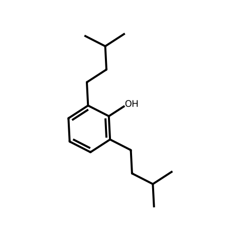 CC(C)CCc1cccc(CCC(C)C)c1O